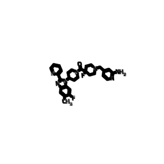 Cc1cc2nc(-c3ccccn3)n(C3CCN(C(=O)C4(F)CCN(Cc5ccnc(N)c5)CC4)CC3)c2cc1F